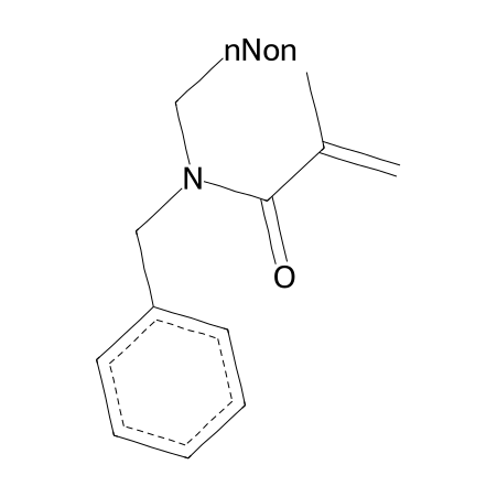 C=C(C)C(=O)N(CCCCCCCCCC)Cc1ccccc1